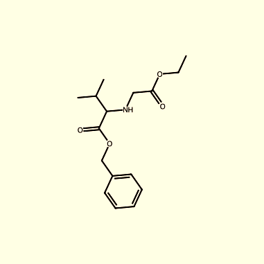 CCOC(=O)CNC(C(=O)OCc1ccccc1)C(C)C